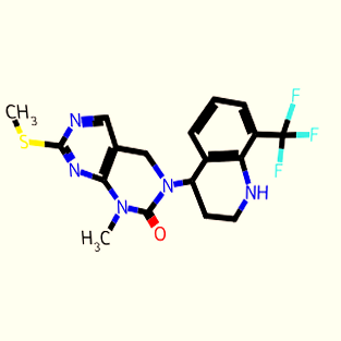 CSc1ncc2c(n1)N(C)C(=O)N(C1CCNc3c1cccc3C(F)(F)F)C2